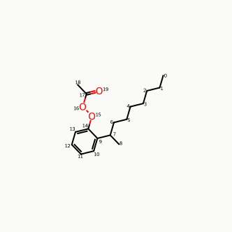 CCCCCCCC(C)c1ccccc1OOC(C)=O